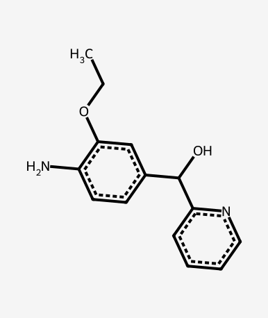 CCOc1cc(C(O)c2ccccn2)ccc1N